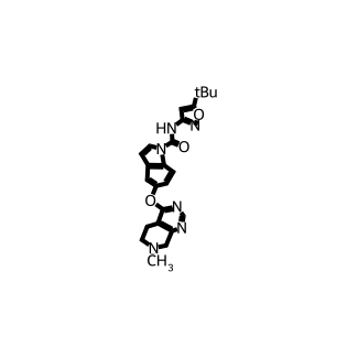 CN1CCc2c(ncnc2Oc2ccc3c(ccn3C(=O)Nc3cc(C(C)(C)C)on3)c2)C1